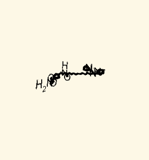 NS(=O)(=O)c1ccc(CCNC(=O)CCCCCCCCCCN(Cc2ccccn2)Cc2ccccn2)cc1